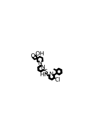 CCC1(C(=O)O)CCCN(c2cccc(SNc3ccc(Cl)c(-c4ccccc4C)n3)n2)C1